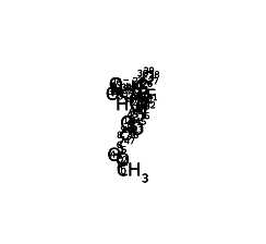 CCOC(=O)/C=C/c1ccc(S(=O)(=O)C2CCN(CC(O)(c3cn(Cc4ccccc4)c4cc([N+](=O)[O-])ccc34)C(F)(F)F)CC2)cc1